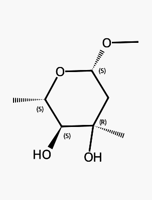 CO[C@@H]1C[C@@](C)(O)[C@@H](O)[C@H](C)O1